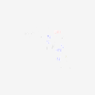 CC(=NNc1nc2ccccc2s1)c1c(C)nn(-c2cccc(C(=O)O)c2)c1O